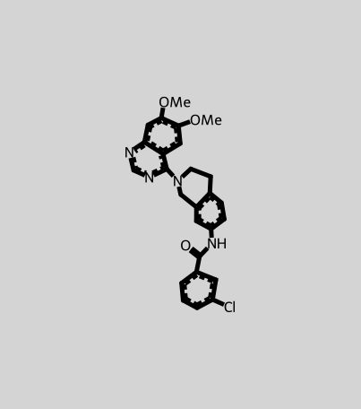 COc1cc2ncnc(N3CCc4ccc(NC(=O)c5cccc(Cl)c5)cc4C3)c2cc1OC